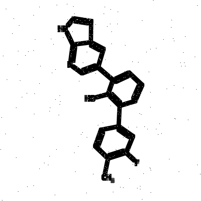 Cc1ccc(-c2cccc(-c3cnc4[nH]ccc4c3)c2O)cc1F